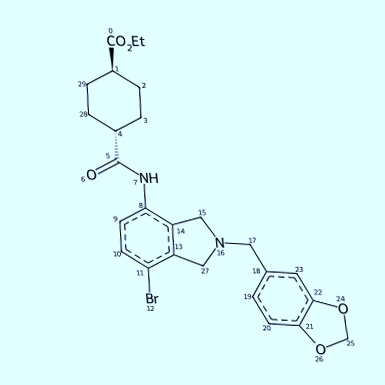 CCOC(=O)[C@H]1CC[C@H](C(=O)Nc2ccc(Br)c3c2CN(Cc2ccc4c(c2)OCO4)C3)CC1